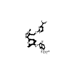 Cc1nc(-c2nnn(C)c2COc2nccc(C(F)F)n2)ccc1O[C@H]1C[C@@H]2CC[C@@H](C(=O)O)[C@@H]2C1